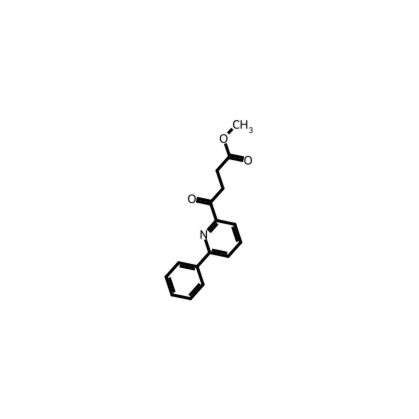 COC(=O)CCC(=O)c1cccc(-c2ccccc2)n1